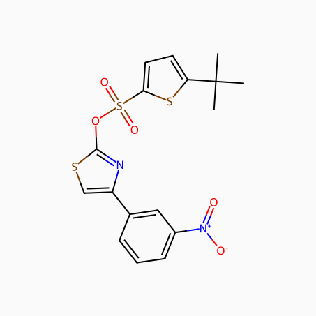 CC(C)(C)c1ccc(S(=O)(=O)Oc2nc(-c3cccc([N+](=O)[O-])c3)cs2)s1